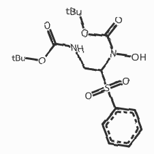 CC(C)(C)OC(=O)NCC(N(O)C(=O)OC(C)(C)C)S(=O)(=O)c1ccccc1